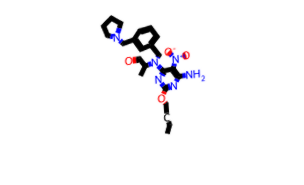 CCCCOc1nc(N)c([N+](=O)[O-])c(N(Cc2cccc(CN3CCCC3)c2)C(C)C=O)n1